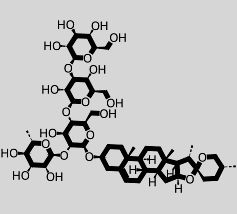 C[C@@H]1CC[C@@]2(OC1)O[C@H]1C[C@H]3[C@@H]4CC=C5C[C@@H](O[C@@H]6O[C@H](CO)[C@@H](O[C@@H]7O[C@H](CO)[C@@H](O)[C@H](O[C@@H]8O[C@H](CO)[C@@H](O)[C@H](O)[C@H]8O)[C@H]7O)[C@H](O)[C@H]6O[C@@H]6O[C@@H](C)[C@H](O)[C@@H](O)[C@H]6O)CC[C@]5(C)[C@H]4CC[C@]3(C)[C@H]1[C@@H]2C